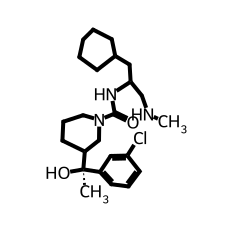 CNCC(CC1CCCCC1)NC(=O)N1CCCC([C@](C)(O)c2cccc(Cl)c2)C1